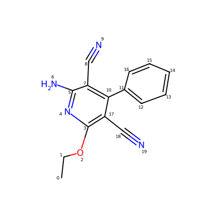 CCOc1nc(N)c(C#N)c(-c2ccccc2)c1C#N